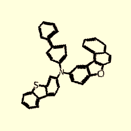 c1ccc(-c2ccc(N(c3ccc4c(c3)sc3ccccc34)c3ccc4oc5ccc6ccccc6c5c4c3)cc2)cc1